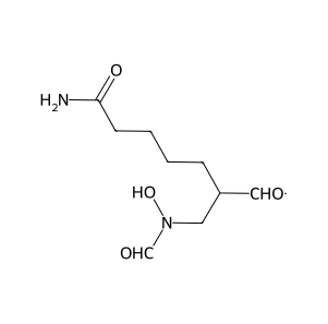 NC(=O)CCCCC([C]=O)CN(O)C=O